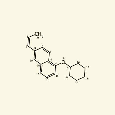 C/C=C\c1ccc2c(OC3CCCCC3)cccc2c1